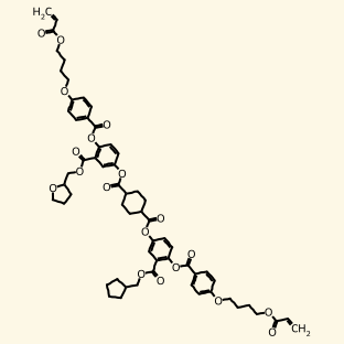 C=CC(=O)OCCCCOc1ccc(C(=O)Oc2ccc(OC(=O)C3CCC(C(=O)Oc4ccc(OC(=O)c5ccc(OCCCCOC(=O)C=C)cc5)c(C(=O)OCC5CCCO5)c4)CC3)cc2C(=O)OCC2CCCC2)cc1